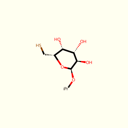 CC(C)O[C@H]1O[C@H](CS)[C@H](O)[C@H](O)[C@H]1O